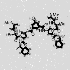 CN[C@@H](C)C(=O)N[C@H](C(=O)N1C[C@@H](NC(=O)c2cc(O)cc(C(=O)N[C@H]3C[C@@H](C(=O)N[C@H](C)c4ccccc4)N(C(=O)[C@@H](NC(=O)[C@H](C)NC)C(C)(C)C)C3)c2)C[C@H]1C(=O)N[C@H](C)c1ccccc1)C(C)(C)C